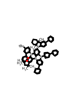 CC(C)(C)c1ccc(N2c3cc4c(cc3B3c5cc(-c6ccccc6)ccc5N(c5ccc(-c6ccccc6)cc5)c5cc(N6c7ccc(-c8ccccc8)cc7C7(C)CCCCC67C)cc2c53)C(C)(C)CC4(C)C)c(-c2ccccc2)c1